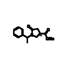 COC(=O)[C@@H]1CC(=O)N(C(C)c2ccccc2)C1